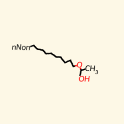 CCCCCCCCCCCCCCCCCCCOC(C)CO